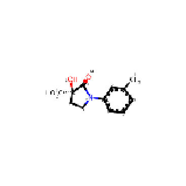 O=C(O)[C@@]1(O)CCN(c2cccc(C(F)(F)F)c2)C1=O